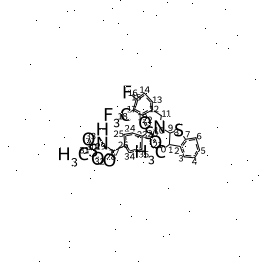 CC1c2ccccc2SC1N(Cc1ccc(F)c(C(F)(F)F)c1)S(=O)(=O)c1ccc(C(=O)NS(C)(=O)=O)cc1